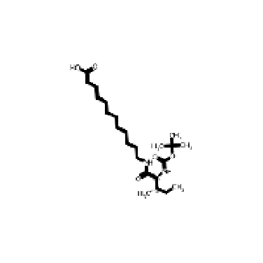 CC[C@H](C)[C@H](NC(=O)OC(C)(C)C)C(=O)NCCCCCCCCCCCC(=O)O